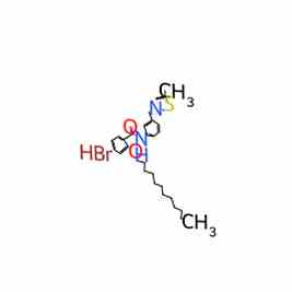 Br.CCCCCCCCCCCCOc1ccccc1C(=O)Nc1cccc(CN2C=C(C)SC2)c1